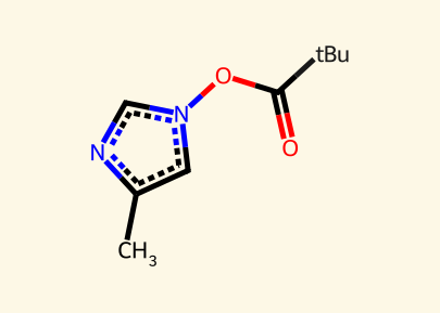 Cc1cn(OC(=O)C(C)(C)C)cn1